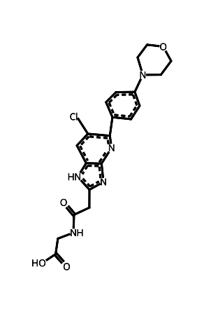 O=C(O)CNC(=O)Cc1nc2nc(-c3ccc(N4CCOCC4)cc3)c(Cl)cc2[nH]1